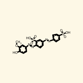 COc1cc(N=Nc2ccc(N=Nc3ccc(S(=O)(=O)O)cc3)cc2S(=O)(=O)O)ccc1O